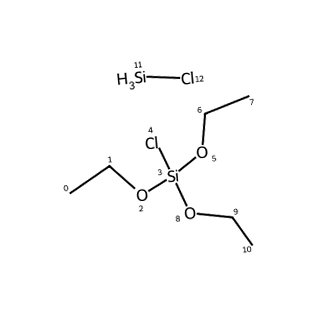 CCO[Si](Cl)(OCC)OCC.[SiH3]Cl